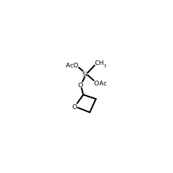 CC(=O)O[Si](C)(OC(C)=O)OC1CCO1